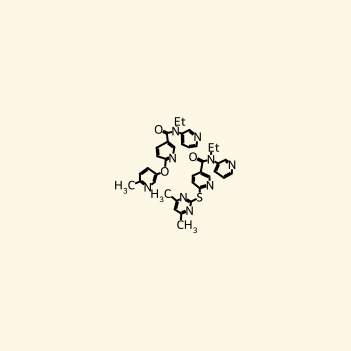 CCN(C(=O)c1ccc(Oc2ccc(C)nc2)nc1)c1cccnc1.CCN(C(=O)c1ccc(Sc2nc(C)cc(C)n2)nc1)c1cccnc1